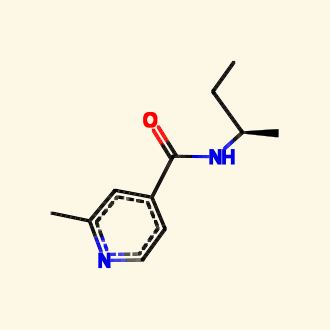 CC[C@@H](C)NC(=O)c1ccnc(C)c1